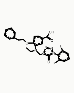 CCN(Cn1nnn(-c2c(F)cccc2F)c1=O)c1cc(C(=O)O)ccc1OCCc1ccccc1